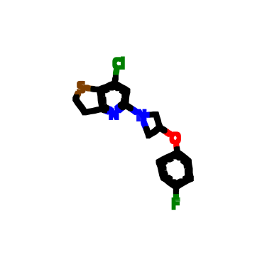 Fc1ccc(OC2CN(c3cc(Cl)c4c(n3)CCS4)C2)cc1